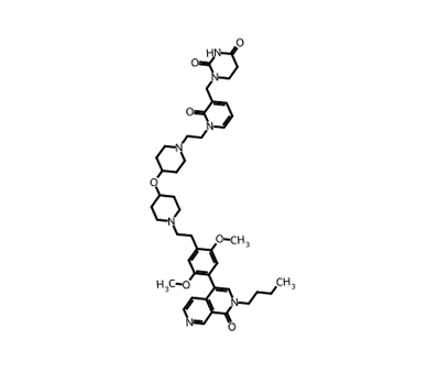 CCCCn1cc(-c2cc(OC)c(CCN3CCC(OC4CCN(CCn5cccc(CN6CCC(=O)NC6=O)c5=O)CC4)CC3)cc2OC)c2ccncc2c1=O